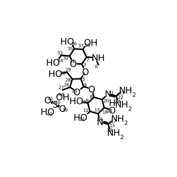 CNC1C(OC2C(OC3C(O)C(O)C(N=C(N)N)C(O)C3N=C(N)N)OC(C)C2CO)OC(CO)C(O)C1O.O=S(=O)(O)O